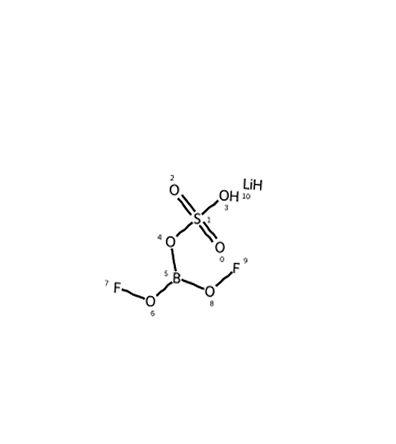 O=S(=O)(O)OB(OF)OF.[LiH]